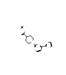 CC(C)(C)OC(=O)C1CCN(c2nccc(-c3ncco3)n2)CC1